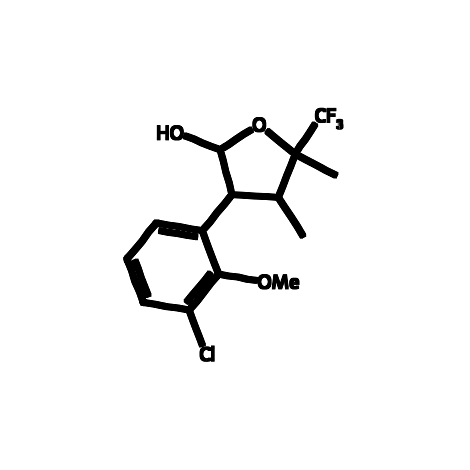 COc1c(Cl)cccc1C1C(O)OC(C)(C(F)(F)F)C1C